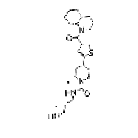 O=C(NCCCO)N1CCC(C2=CC(C(=O)N3CCCC4CCCCC43)CS2)CC1